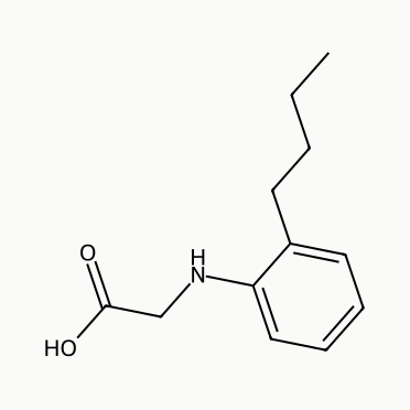 CCCCc1ccccc1NCC(=O)O